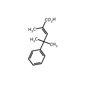 CC(=CC(C)(C)c1ccccc1)C(=O)O